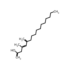 C=C(O)C/C(C)=C/C(=C)CCCCCCCCCCC